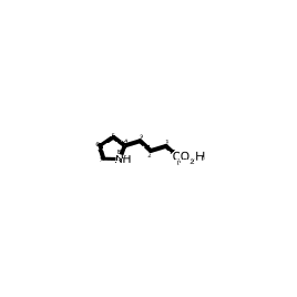 O=C(O)CCCC1CCCN1